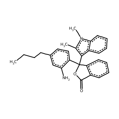 CCCCc1ccc(C2(c3c(C)n(C)c4ccccc34)OC(=O)c3ccccc32)c(N)c1